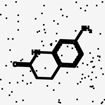 Bc1ccc2c(c1)NC(=O)CC2